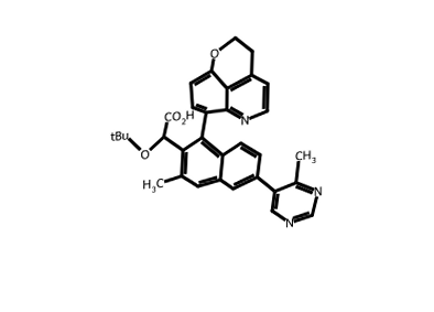 Cc1cc2cc(-c3cncnc3C)ccc2c(-c2ccc3c4c(ccnc24)CCO3)c1C(OC(C)(C)C)C(=O)O